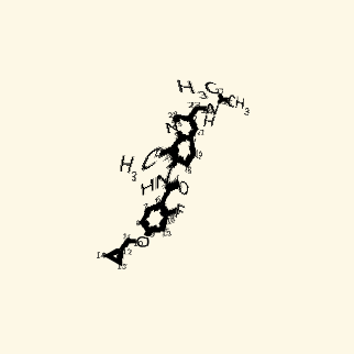 Cc1c(NC(=O)c2ccc(OCC3CC3)cc2F)ccc2cc(CNC(C)C)cnc12